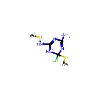 CCCSNC1=NC(N)=NC(Cl)(SCCC)N1